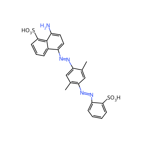 Cc1cc(N=Nc2ccc(N)c3c(S(=O)(=O)O)cccc23)c(C)cc1N=Nc1ccccc1S(=O)(=O)O